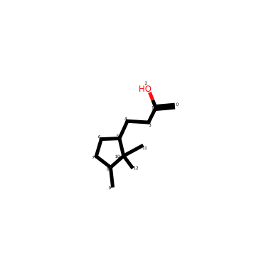 C=C(O)CCC1CCC(C)C1(C)C